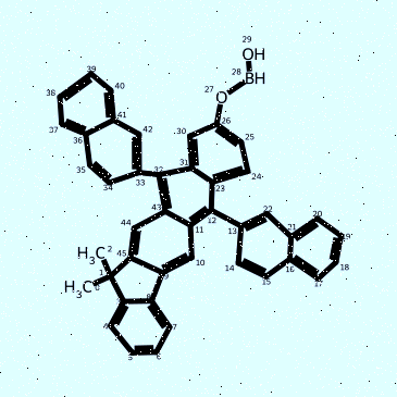 CC1(C)c2ccccc2-c2cc3c(-c4ccc5ccccc5c4)c4ccc(OBO)cc4c(-c4ccc5ccccc5c4)c3cc21